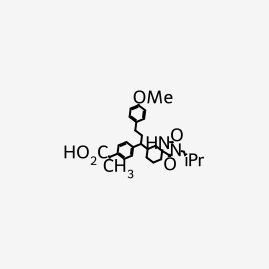 COc1ccc(CCC(c2ccc(C(C)C(=O)O)cc2)C2CCCC3(C2)NC(=O)N(CC(C)C)C3=O)cc1